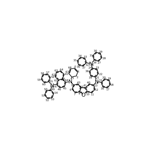 C1=CCC(N(c2ccc3oc4ccc(N(c5ccccc5)c5ccc(N(c6ccccc6)c6ccccc6)cc5)cc4c3c2)c2ccc(N(c3ccccc3)c3ccccc3)c3ccccc23)C=C1